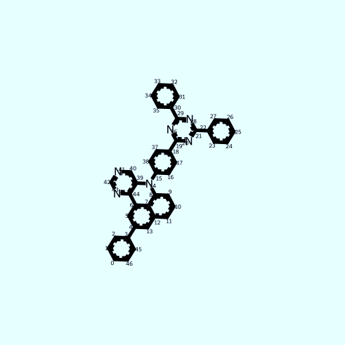 c1ccc(-c2cc3c4c(cccc4c2)N(c2ccc(-c4nc(-c5ccccc5)nc(-c5ccccc5)n4)cc2)c2cncnc2-3)cc1